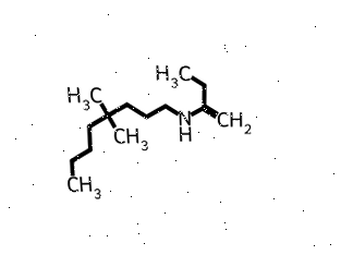 C=C(CC)NCCCC(C)(C)CCCC